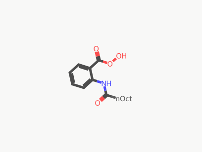 CCCCCCCCC(=O)Nc1ccccc1C(=O)OO